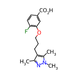 Cc1nn(C)c(C)c1CCCOc1cc(C(=O)O)ccc1F